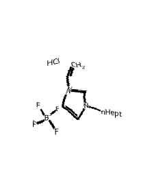 C=CN1C=CN(CCCCCCC)C1.Cl.F[B-](F)(F)F